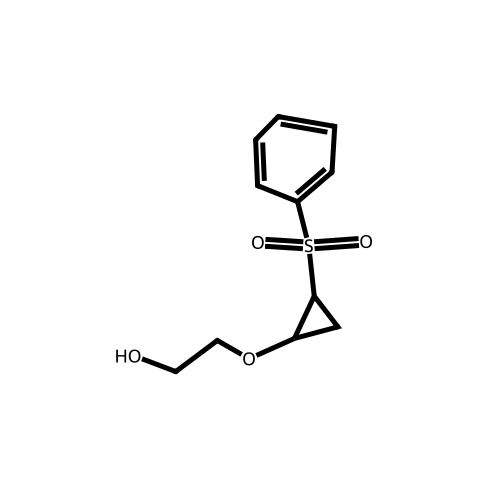 O=S(=O)(c1ccccc1)C1CC1OCCO